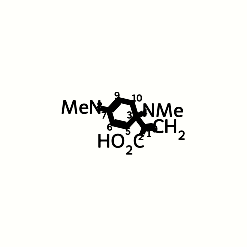 C=C(C(=O)O)C1(NC)C=CC(NC)=CC1